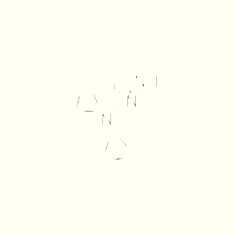 Cc1ccc(N(Cc2ccccc2)C[C@H]2COC(N)=N2)cc1